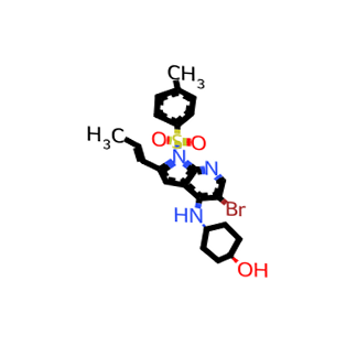 C/C=C/c1cc2c(N[C@H]3CC[C@H](O)CC3)c(Br)cnc2n1S(=O)(=O)c1ccc(C)cc1